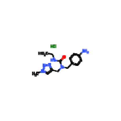 CCOC(=O)CNC(=O)N(Cc1ccc(N)cc1)Cc1cn(C)nn1.Cl